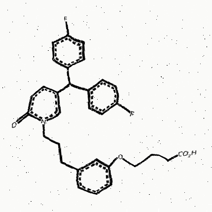 O=C(O)CCCOc1cccc(CCCn2cc(C(c3ccc(F)cc3)c3ccc(F)cc3)ccc2=O)c1